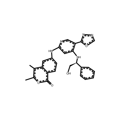 Cc1oc(=O)c2ccc(Nc3cc(N[C@H](CO)c4ccccc4)c(-c4nnco4)cn3)cc2c1C